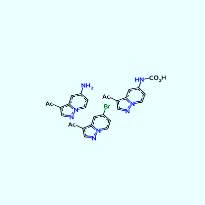 CC(=O)c1cnn2ccc(Br)cc12.CC(=O)c1cnn2ccc(N)cc12.CC(=O)c1cnn2ccc(NC(=O)O)cc12